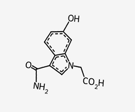 NC(=O)c1cn(CC(=O)O)c2cc(O)ccc12